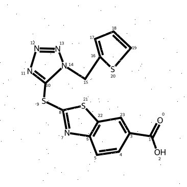 O=C(O)c1ccc2nc(Sc3nnnn3Cc3cccs3)sc2c1